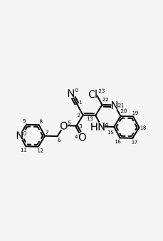 N#C/C(C(=O)OCc1ccncc1)=C1/Nc2ccccc2N=C1Cl